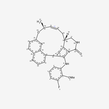 COc1c(F)cccc1Nc1c2cc3n1C(=O)NC[C@H]3C/C=C\[C@H](C)Oc1ccc3nccc-2c3n1